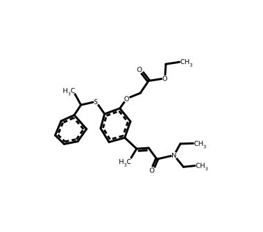 CCOC(=O)COc1cc(C(C)=CC(=O)N(CC)CC)ccc1SC(C)c1ccccc1